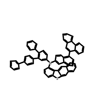 c1ccc(-c2ccc(-c3cc(N(c4ccc5c(-c6cc7ccccc7c7ccccc67)cccc5c4)c4cccc5sc6cc7ccccc7cc6c45)ccc3-c3ccccc3)cc2)cc1